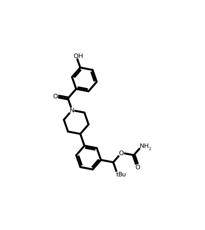 CC(C)(C)C(OC(N)=O)c1cccc(C2CCN(C(=O)c3cccc(O)c3)CC2)c1